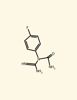 N=C(N)N(C(N)=O)c1ccc(F)cc1